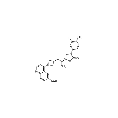 COc1ccc2nccc(N3CC(CC(N)[C@H]4CN(c5ccc(C)c(F)c5)C(=O)O4)C3)c2n1